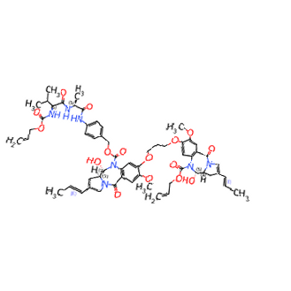 C=CCOC(=O)N[C@H](C(=O)N[C@@H](C)C(=O)Nc1ccc(COC(=O)N2c3cc(OCCCOc4cc5c(cc4OC)C(=O)N4C=C(/C=C/C)C[C@H]4[C@H](O)N5C(=O)OCC=C)c(OC)cc3C(=O)N3C=C(/C=C/C)C[C@H]3[C@@H]2O)cc1)C(C)C